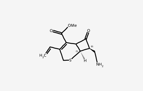 C=CC1=C(C(=O)OC)C2C(=O)[C@@H](CN)[C@H]2SC1